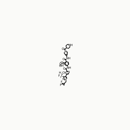 Cn1c(-c2cn(CC3CC3(F)F)nc2C(F)(F)F)cnc1C(=O)Nc1ccc(C(=O)NC2C3CN(C(=O)C4CCNCC4)CC32)c(Cl)c1.O=CO